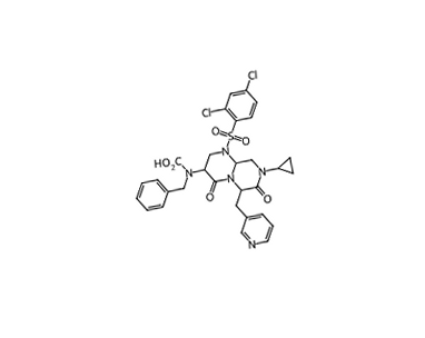 O=C1C(Cc2cccnc2)N2C(=O)C(N(Cc3ccccc3)C(=O)O)CN(S(=O)(=O)c3ccc(Cl)cc3Cl)C2CN1C1CC1